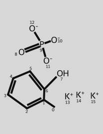 Cc1ccccc1O.O=P([O-])([O-])[O-].[K+].[K+].[K+]